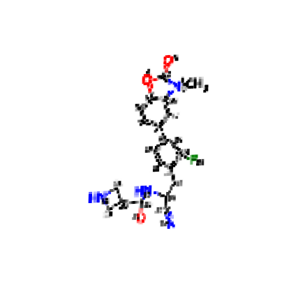 Cn1c(=O)oc2ccc(-c3ccc(CC(C#N)NC(=O)C4CNC4)c(F)c3)cc21